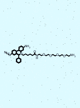 [N-]=[N+]=Nc1ccc2c(c1)c(-c1ccccc1)[n+](CCCCCC(=O)NCCOCCOCCOCCOCCN)c1cc(N)ccc21